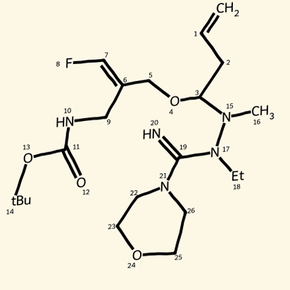 C=CCC(OC/C(=C/F)CNC(=O)OC(C)(C)C)N(C)N(CC)C(=N)N1CCOCC1